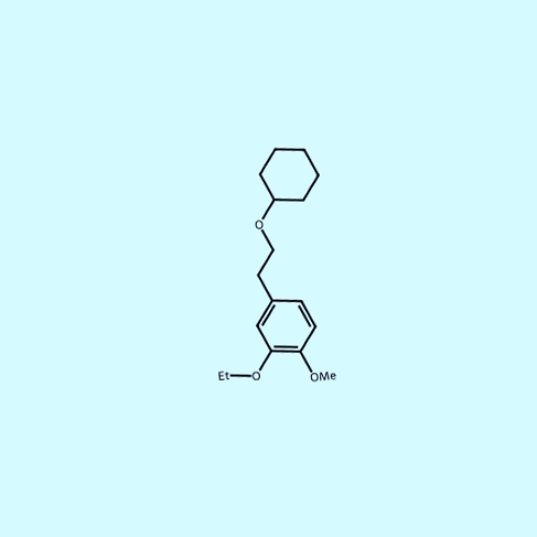 CCOc1cc(CCOC2CCCCC2)ccc1OC